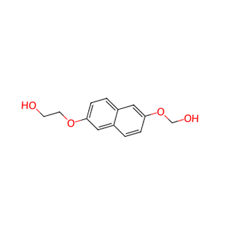 OCCOc1ccc2cc(OCO)ccc2c1